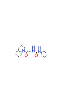 O=C(NCCC(=O)N1CCCC2CCCCC21)NC1CCCCC1